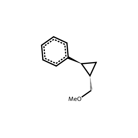 COC[C@H]1C[C@@H]1c1ccccc1